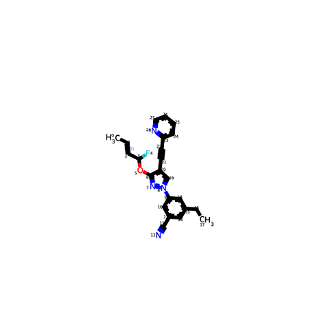 C/C=C/C(F)Oc1nn(-c2cc(C#N)cc(CC)c2)cc1C#Cc1ccccn1